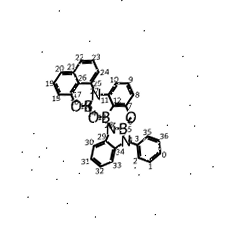 c1ccc(N2B3Oc4cccc5c4B(OB4Oc6cccc7cccc(c67)N45)N3c3ccccc32)cc1